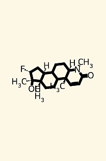 CN1C(=O)C=C[C@]2(C)C3CC[C@@]4(C)[C@@H](C[C@@H](F)[C@]4(C)O)C3CC[C@@H]12